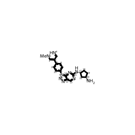 CN/C=C(\C=N)c1ccc(-n2nnc3cnc(N[C@@H]4CC[C@H](N)C4)nc32)cc1